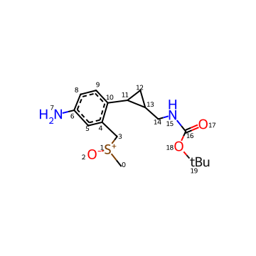 C[S+]([O-])Cc1cc(N)ccc1C1CC1CNC(=O)OC(C)(C)C